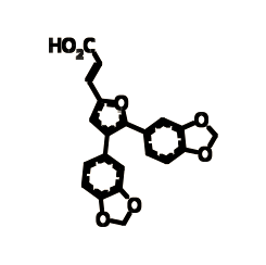 O=C(O)/C=C/c1cc(-c2ccc3c(c2)OCO3)c(-c2ccc3c(c2)OCO3)o1